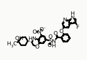 CC1(O)CCC([C@H]2COc3cc(S(=O)(=O)NC(=O)c4ccccc4Oc4cnc5[nH]cc(F)c5c4)cc([N+](=O)[O-])c3N2)CC1